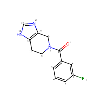 O=C(c1cccc(F)c1)N1CCc2[nH]cnc2C1